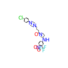 O=C(CCCN1CCN(c2ccc(Cl)cc2)CC1)N1CC[C@H](Nc2ccc([N+](=O)[O-])c(C(F)(F)F)c2)C1